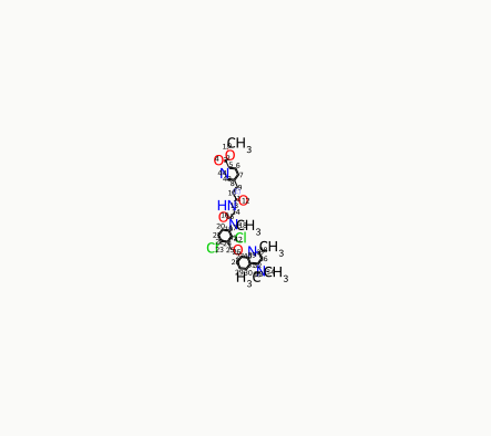 CCOC(=O)c1ccc(/C=C/C(=O)NCC(=O)N(C)c2ccc(Cl)c(COc3cccc4c(N(C)C)cc(C)nc34)c2Cl)cn1